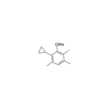 COc1c(C)c(C)cc(C)c1C1CC1